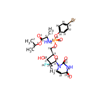 CC(C)OC(=O)[C@H](C)NP(=O)(OC[C@H]1O[C@@H](n2ccc(=O)[nH]c2=O)[C@](C)(F)[C@@H]1O)Oc1ccc(Br)cc1